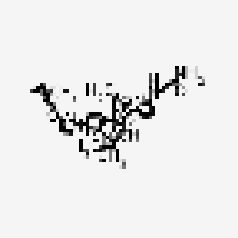 C=CCN(C(=O)c1ccc(-n2ccc(OCCC3(C(F)(F)F)CC3)n2)nc1N1C(C)CC1(C)C)S(=O)(=O)c1cccc(NCCC(N)=O)n1